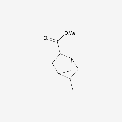 COC(=O)C1CC2CC1CC2C